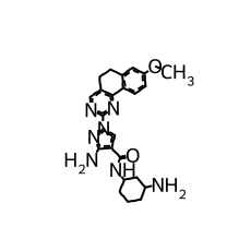 COc1ccc2c(c1)CCc1cnc(-n3cc(C(=O)NC4CCCC(N)C4)c(N)n3)nc1-2